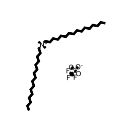 CCCCCCCCCCCCCCCC[N+](C)(C)CCCCCCCCCCCCCCCC.O=S(=O)([O-])C(F)(F)F